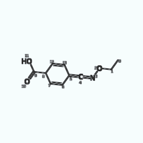 CCON=C=C1C=CC(C(=O)O)C=C1